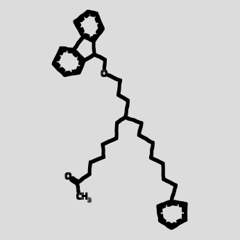 CC(=O)CCCCCCC(CCCCCCCc1ccccc1)CCCOCC1c2ccccc2-c2ccccc21